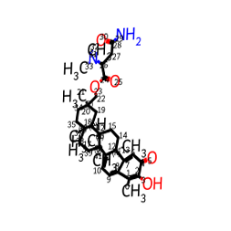 CC1=C(O)C(=O)C=C2C1=CC=C1[C@@]2(C)CC[C@@]2(C)[C@@H]3C[C@](C)(COC(=O)C(CC(N)=O)N(C)C)CC[C@@]3(C)CC[C@]12C